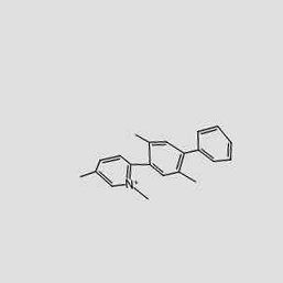 Cc1ccc(-c2cc(C)c(-c3ccccc3)cc2C)[n+](C)c1